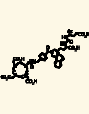 CC(=O)[C@@H](CCC(=O)O)NC(=O)N[C@H](CCCCN(Cc1nccc2ccccc12)C(=O)c1ccc(CNC(=O)CN2CCN(CC(=O)O)CCN(CC(=O)O)CCN(CC(=O)O)CC2)cc1)C(=O)O